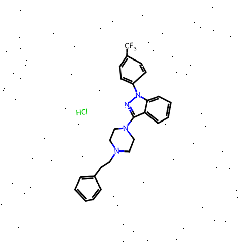 Cl.FC(F)(F)c1ccc(-n2nc(N3CCN(CCc4ccccc4)CC3)c3ccccc32)cc1